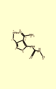 CCCCCCSc1nsc(NC(=O)NCC)c1C(N)=O